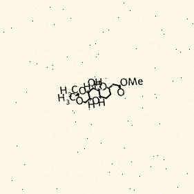 COC(=O)CC1CC[C@@H]2O[C@H]3COC(C)(C)O[C@H]3[C@@H](O)[C@H]2O1